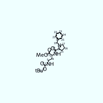 COC(=O)[C@H](CCNC(=O)OC(C)(C)C)NC(=O)[C@@H]1CCCN1Cc1ccccc1